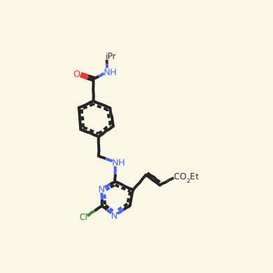 CCOC(=O)/C=C/c1cnc(Cl)nc1NCc1ccc(C(=O)NC(C)C)cc1